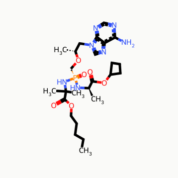 CCCCCOC(=O)C(C)(C)N[P@](=O)(CO[C@H](C)Cn1cnc2c(N)ncnc21)N[C@H](C)C(=O)OC1CCC1